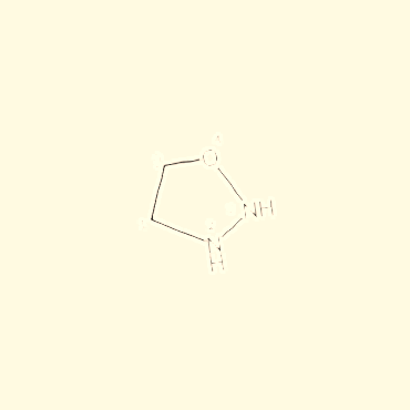 [CH]1CNNO1